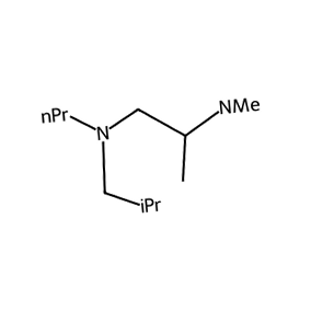 CCCN(CC(C)C)CC(C)NC